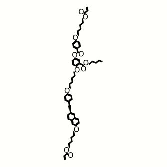 C=CC(=O)OCCCCCCOc1ccc(C(=O)Oc2ccc(OCCCCCCOc3ccc(C#Cc4ccc5cc(OCCCCCCOC(=O)C=C)ccc5c4)cc3)c(C(=O)OCCCCC)c2)cc1